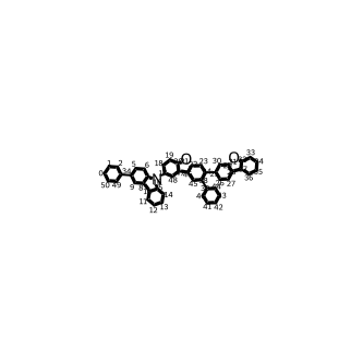 c1ccc(-c2ccc3c(c2)c2ccccc2n3-c2ccc3oc4cc(-c5ccc6c(c5)oc5ccccc56)c(-c5ccccc5)cc4c3c2)cc1